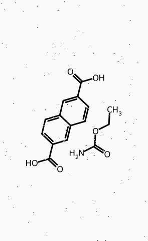 CCOC(N)=O.O=C(O)c1ccc2cc(C(=O)O)ccc2c1